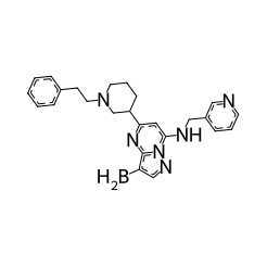 Bc1cnn2c(NCc3cccnc3)cc(C3CCCN(CCc4ccccc4)C3)nc12